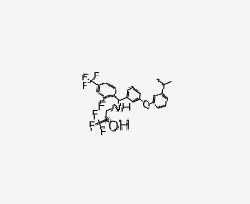 CC(C)c1cccc(Oc2cccc(C(NC[C@@H](O)C(F)(F)F)c3ccc(C(F)(F)F)cc3F)c2)c1